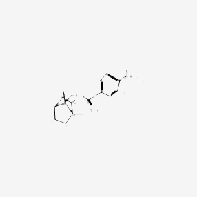 CC1(C)C2CCC1(C)C(OC(=O)c1ccc([N+](=O)[O-])cc1)C2